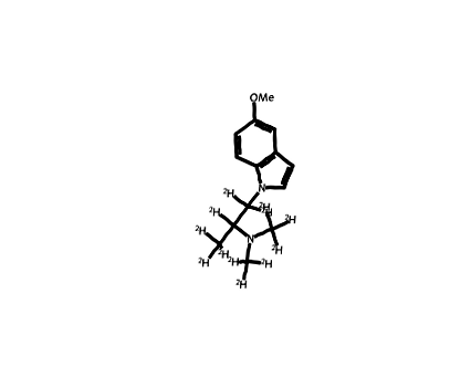 [2H]C([2H])([2H])N(C([2H])([2H])[2H])C([2H])(C([2H])([2H])[2H])C([2H])([2H])n1ccc2cc(OC)ccc21